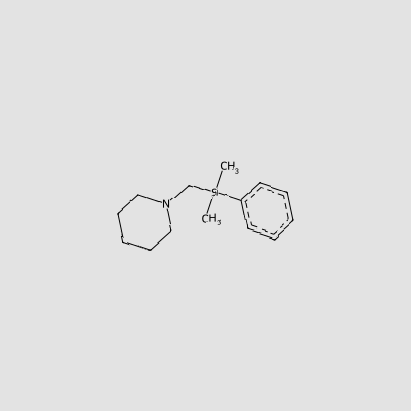 C[Si](C)(CN1CCCCC1)c1ccccc1